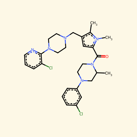 Cc1c(CN2CCN(c3ncccc3Cl)CC2)cc(C(=O)N2CCN(c3cccc(Cl)c3)CC2C)n1C